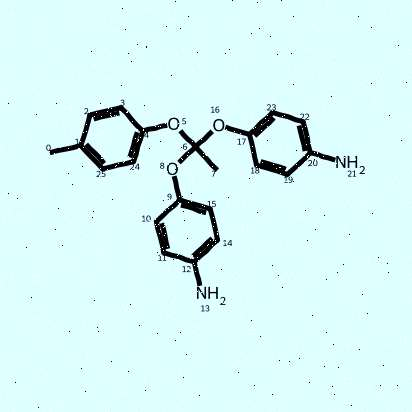 Cc1ccc(OC(C)(Oc2ccc(N)cc2)Oc2ccc(N)cc2)cc1